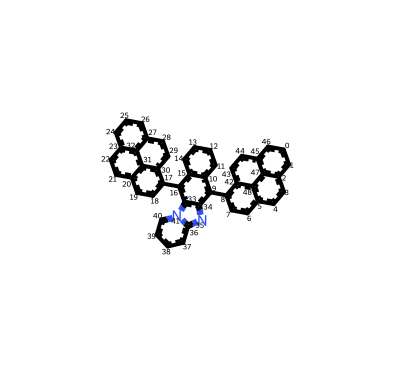 c1cc2ccc3ccc(-c4c5ccccc5c(-c5ccc6ccc7cccc8ccc5c6c78)c5c4nc4ccccn45)c4ccc(c1)c2c34